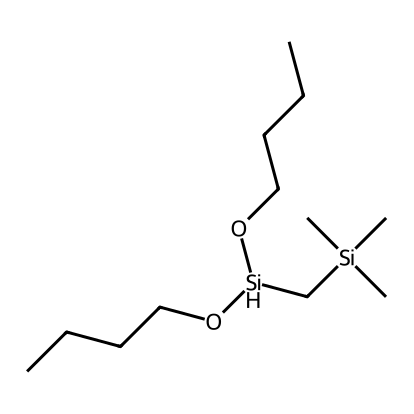 CCCCO[SiH](C[Si](C)(C)C)OCCCC